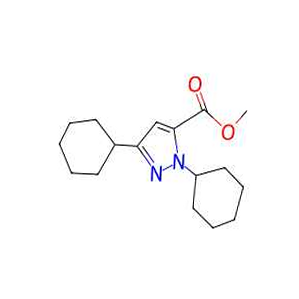 COC(=O)c1cc(C2CCCCC2)nn1C1CCCCC1